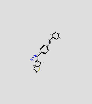 C(=C\c1ccc(-c2n[nH]c3c2Cc2sccc2-3)cc1)/c1ccccc1